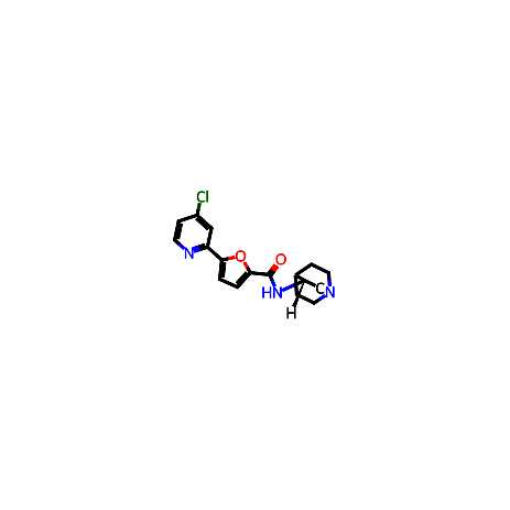 O=C(N[C@H]1CN2CCC1CC2)c1ccc(-c2cc(Cl)ccn2)o1